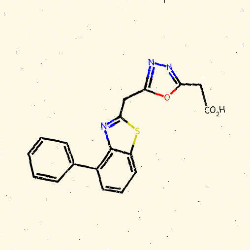 O=C(O)Cc1nnc(Cc2nc3c(-c4ccccc4)cccc3s2)o1